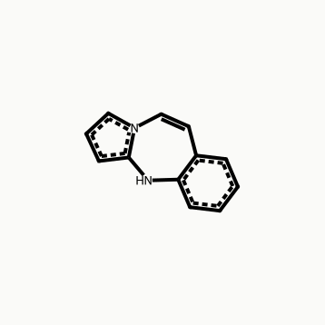 C1=Cn2cccc2Nc2ccccc21